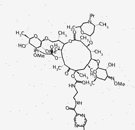 CON=C1C[C@@H](C)O[C@@H](O[C@@H]2[C@@H](C)[C@H](O[C@H]3C[C@@H](C)N(C(C)C)CC(C)O3)[C@@H](C)C(=O)OC([C@@H](C)CO[C@@H]3O[C@H](C)[C@@H](O)[C@@H](OC)[C@H]3OC)[C@H](C)[C@@H](OC(=O)CC(C)C)[C@@H](C)C(=O)[C@@](C)(OC(=O)NCCNC(=O)c3cnc(O)cn3)C[C@@H]2C)[C@@H]1O